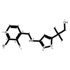 CC(C)(CO)c1cc(NCc2ccnc(Br)c2F)no1